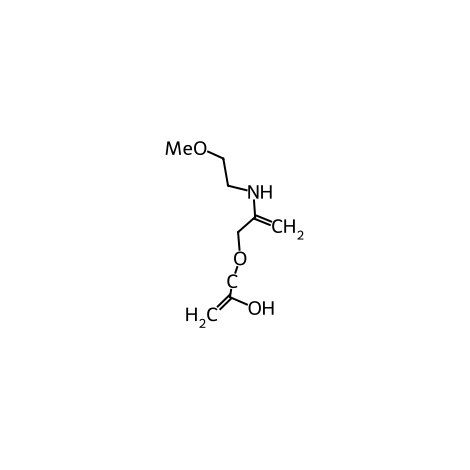 C=C(O)COCC(=C)NCCOC